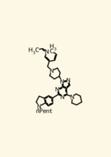 C\C=C/C(=C\N=C/C)CN1CCC(n2ncc3c(N4CCCCC4)nc(-c4ccc5c(c4)CCN5CCCCC)nc32)CC1